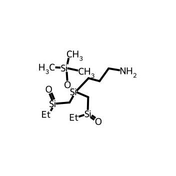 CC[Si](=O)C[Si](CCCN)(C[Si](=O)CC)O[Si](C)(C)C